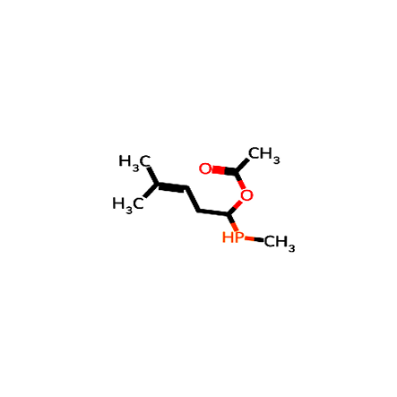 CPC(CC=C(C)C)OC(C)=O